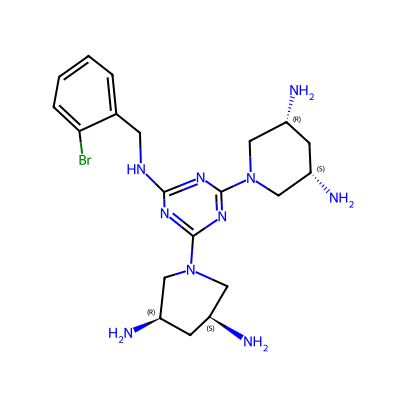 N[C@@H]1C[C@H](N)CN(c2nc(NCc3ccccc3Br)nc(N3C[C@H](N)C[C@H](N)C3)n2)C1